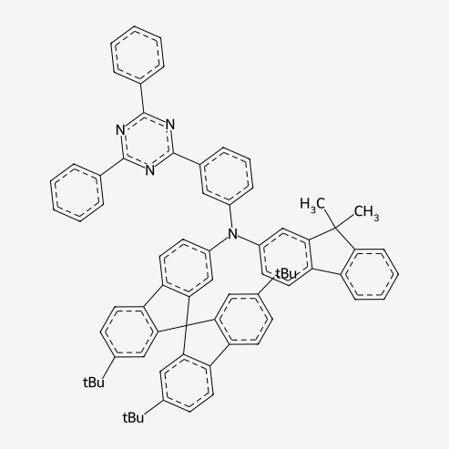 CC(C)(C)c1ccc2c(c1)C1(c3cc(N(c4cccc(-c5nc(-c6ccccc6)nc(-c6ccccc6)n5)c4)c4ccc5c(c4)C(C)(C)c4ccccc4-5)ccc3-2)c2cc(C(C)(C)C)ccc2-c2ccc(C(C)(C)C)cc21